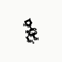 NC[C@H](NC(=O)[C@@H]1CCCN1)C(=O)O